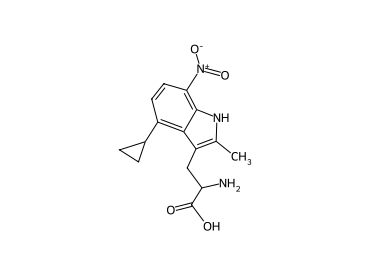 Cc1[nH]c2c([N+](=O)[O-])ccc(C3CC3)c2c1CC(N)C(=O)O